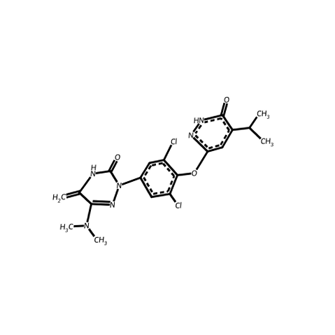 C=C1NC(=O)N(c2cc(Cl)c(Oc3cc(C(C)C)c(=O)[nH]n3)c(Cl)c2)N=C1N(C)C